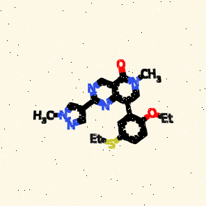 CCOc1ccc(SCC)cc1-c1cn(C)c(=O)c2cnc(-c3cnn(C)c3)nc12